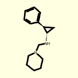 c1ccc([C@H]2C[C@@H]2NCN2CCCCC2)cc1